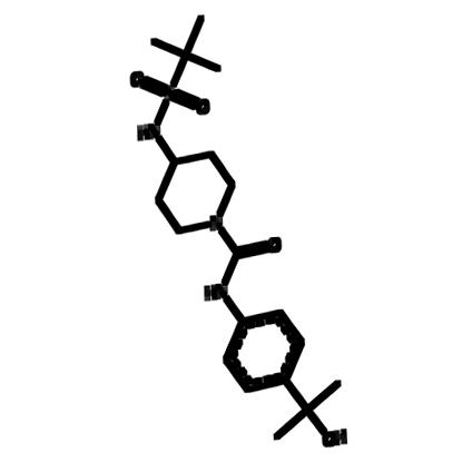 CC(C)(O)c1ccc(NC(=O)N2CCC(NS(=O)(=O)C(C)(C)C)CC2)cc1